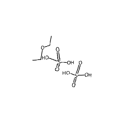 CCOCC.O=S(=O)(O)O.O=S(=O)(O)O